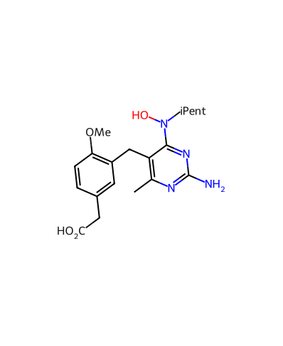 CCCC(C)N(O)c1nc(N)nc(C)c1Cc1cc(CC(=O)O)ccc1OC